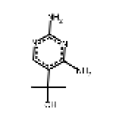 CC(C)(O)c1cnc(N)nc1N